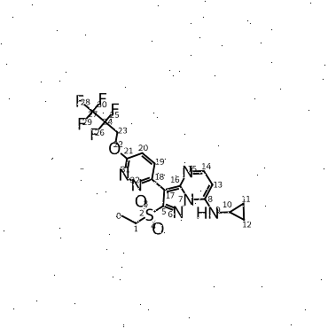 CCS(=O)(=O)c1nn2c(NC3CC3)ccnc2c1-c1ccc(OCC(F)(F)C(F)(F)F)nn1